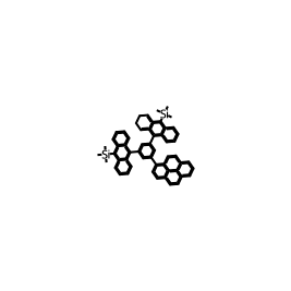 C[Si](C)(C)c1c2c(c(-c3cc(-c4c5ccccc5c([Si](C)(C)C)c5ccccc45)cc(-c4ccc5ccc6cccc7ccc4c5c67)c3)c3ccccc13)=CCCC=2